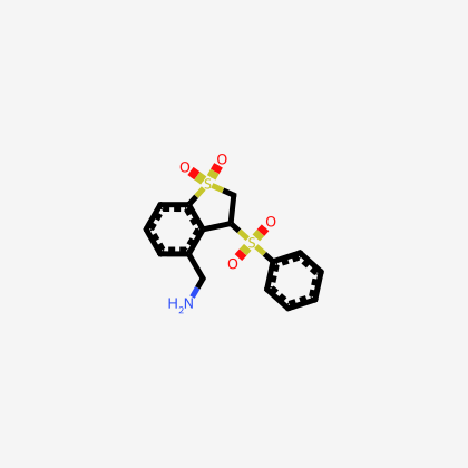 NCc1cccc2c1C(S(=O)(=O)c1ccccc1)CS2(=O)=O